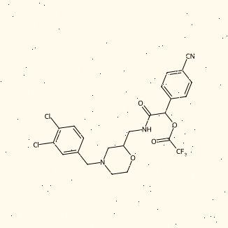 N#Cc1ccc(C(OC(=O)C(F)(F)F)C(=O)NCC2CN(Cc3ccc(Cl)c(Cl)c3)CCO2)cc1